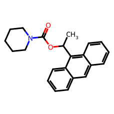 CC(OC(=O)N1CCCCC1)c1c2ccccc2cc2ccccc12